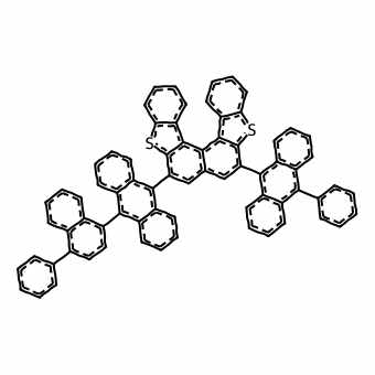 c1ccc(-c2ccc(-c3c4ccccc4c(-c4cc5cc(-c6c7ccccc7c(-c7ccccc7)c7ccccc67)c6sc7ccccc7c6c5c5c4sc4ccccc45)c4ccccc34)c3ccccc23)cc1